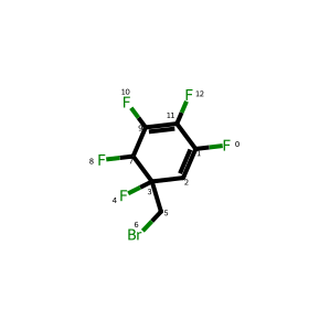 FC1=CC(F)(CBr)C(F)C(F)=C1F